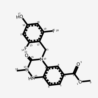 COC(=O)c1ccc2c(c1)N(Cc1c(F)cc(O)cc1F)C(=O)N(C)N2